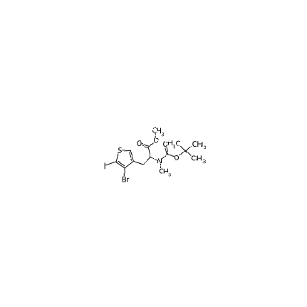 COC(=O)C(Cc1csc(I)c1Br)N(C)C(=O)OC(C)(C)C